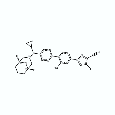 N#Cc1nn(-c2ccc(-c3ncc(N(C4CC4)[C@@H]4C[C@H]5CCC[C@@H](C4)N5)nn3)c(O)c2)cc1F